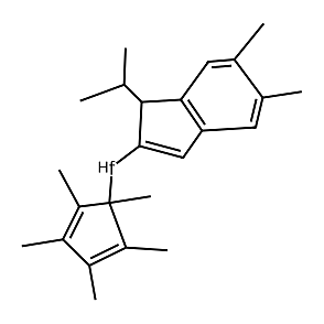 CC1=C(C)[C](C)([Hf][C]2=Cc3cc(C)c(C)cc3C2C(C)C)C(C)=C1C